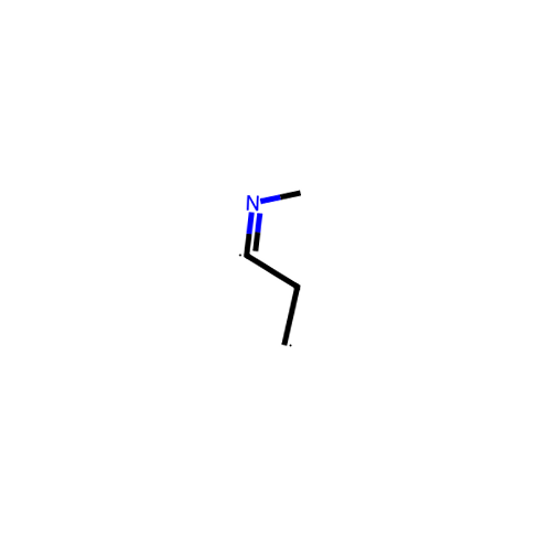 [CH2]C/[C]=N\C